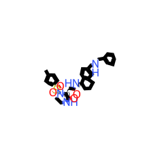 Cc1ccc(S(=O)(=O)N2CCNC(=O)[C@H]2CC(=O)N[C@@H]2CCCc3cc(CNCc4ccccc4)ccc32)cc1